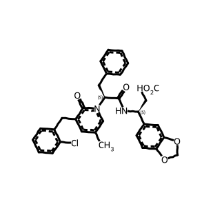 Cc1cc(Cc2ccccc2Cl)c(=O)n([C@@H](Cc2ccccc2)C(=O)N[C@@H](CC(=O)O)c2ccc3c(c2)OCO3)c1